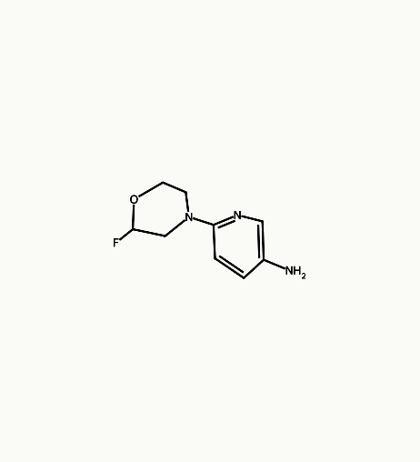 Nc1ccc(N2CCOC(F)C2)nc1